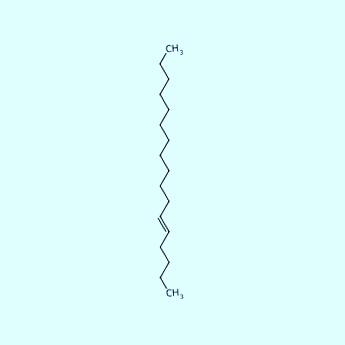 CCCCC=CCCCCCCCCCCC